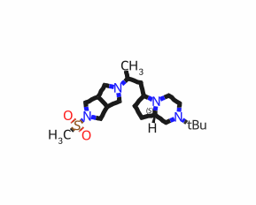 CC(CC1CC[C@H]2CN(C(C)(C)C)CCN12)N1CC2CN(S(C)(=O)=O)CC2C1